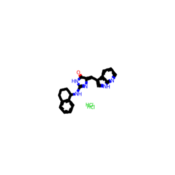 Cl.Cl.O=C1NC(NC2CCCc3ccccc32)=N/C1=C\c1c[nH]c2ncccc12